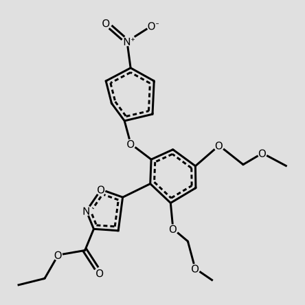 CCOC(=O)c1cc(-c2c(OCOC)cc(OCOC)cc2Oc2ccc([N+](=O)[O-])cc2)on1